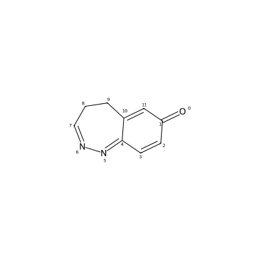 O=C1C=CC2=NN=CCCC2=C1